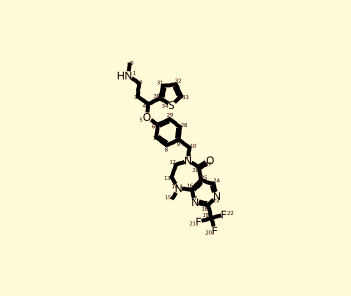 CNCCC(Oc1ccc(CN2CCN(C)c3nc(C(F)(F)F)ncc3C2=O)cc1)c1cccs1